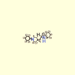 CC1(NCC2CC23CCN(c2ccccc2)CC3)CCCCC1